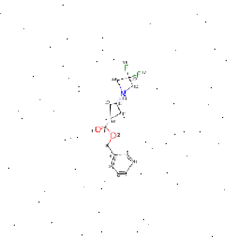 O=C(OCc1ccccc1)[C@H]1C[C@@H](N2CC(F)(F)C2)C1